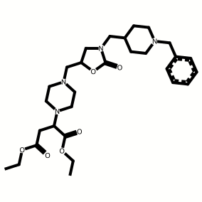 CCOC(=O)CC(C(=O)OCC)N1CCN(CC2CN(CC3CCN(Cc4ccccc4)CC3)C(=O)O2)CC1